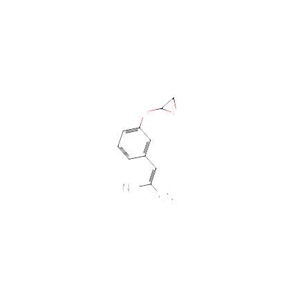 N#CC(C#N)=Cc1cccc(OC2CO2)c1